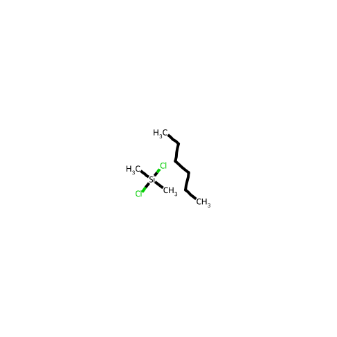 CCCCCC.C[Si](C)(Cl)Cl